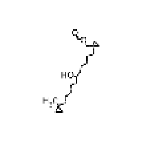 CC1(CCCCCC(O)CCCCCC2(COC=O)CC2)CC1